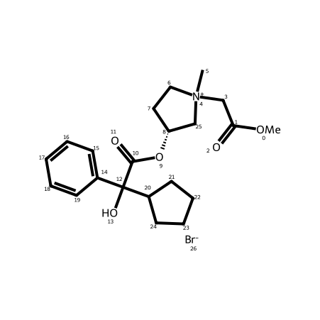 COC(=O)C[N+]1(C)CC[C@@H](OC(=O)C(O)(c2ccccc2)C2CCCC2)C1.[Br-]